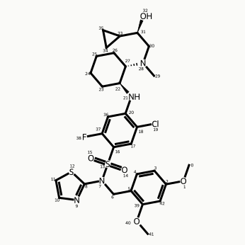 COc1ccc(CN(c2nccs2)S(=O)(=O)c2cc(Cl)c(N[C@H]3CCCC[C@@H]3N(C)C[C@H](O)C3CC3)cc2F)c(OC)c1